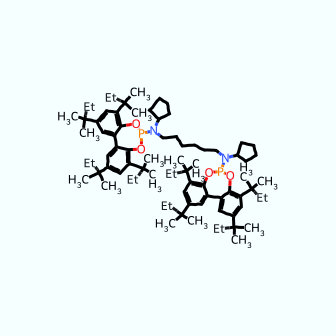 CCC(C)(C)c1cc(C(C)(C)CC)c2op(N(CCCCCCN(C3CCCC3)p3oc4c(C(C)(C)CC)cc(C(C)(C)CC)cc4c4cc(C(C)(C)CC)cc(C(C)(C)CC)c4o3)C3CCCC3)oc3c(C(C)(C)CC)cc(C(C)(C)CC)cc3c2c1